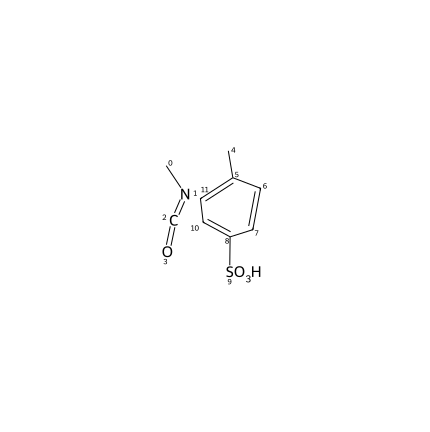 CN=C=O.Cc1ccc(S(=O)(=O)O)cc1